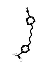 N#Cc1ccc(CCCCCc2ccc(C(=O)O)cc2)cc1